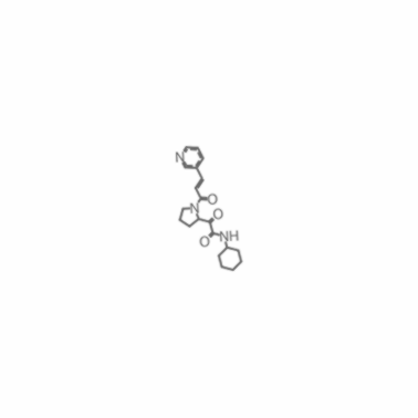 O=C(NC1CCCCC1)C(=O)C1CCCN1C(=O)C=Cc1cccnc1